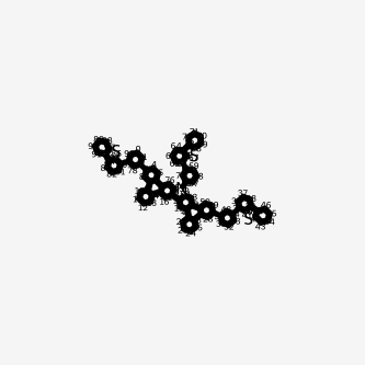 c1cc(-c2ccc3c(c2)c2ccccc2c2cc4c5cc6c7ccccc7c7cc(-c8cccc(-c9cccc%10c9sc9ccccc9%10)c8)ccc7c6cc5n(-c5cccc(-c6cccc7c6sc6ccccc67)c5)c4cc32)cc(-c2cccc3c2sc2ccccc23)c1